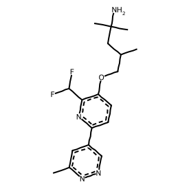 Cc1cc(-c2ccc(OCC(C)CC(C)(C)N)c(C(F)F)n2)cnn1